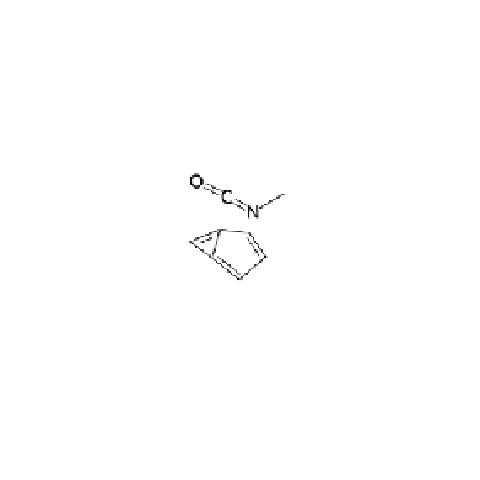 CN=C=O.c1cc2cc-2c1